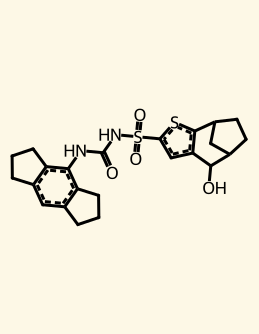 O=C(Nc1c2c(cc3c1CCC3)CCC2)NS(=O)(=O)c1cc2c(s1)C1CCC(C1)C2O